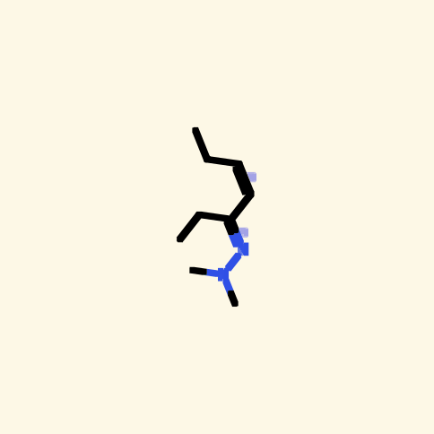 CC/C=C\C(CC)=N\N(C)C